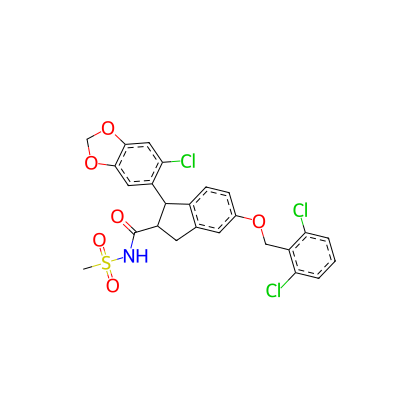 CS(=O)(=O)NC(=O)C1Cc2cc(OCc3c(Cl)cccc3Cl)ccc2C1c1cc2c(cc1Cl)OCO2